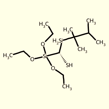 CCO[Si](OCC)(OCC)[C@@H](S)[SiH2]C(C)(C)C(C)C